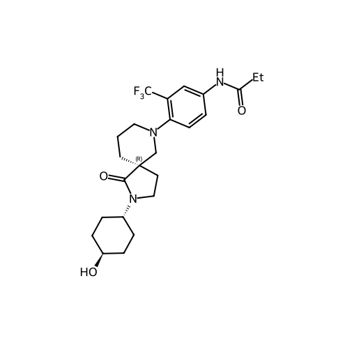 CCC(=O)Nc1ccc(N2CCC[C@@]3(CCN([C@H]4CC[C@H](O)CC4)C3=O)C2)c(C(F)(F)F)c1